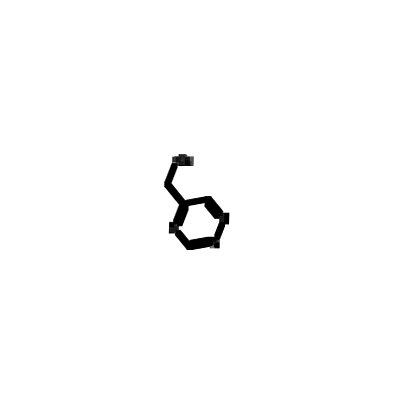 CCCCCc1cnncn1